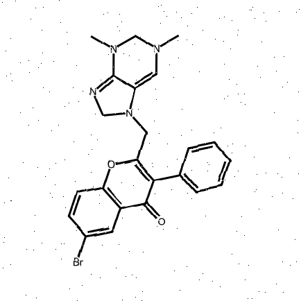 CN1C=C2C(=NCN2Cc2oc3ccc(Br)cc3c(=O)c2-c2ccccc2)N(C)C1